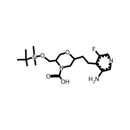 CC(C)(C)[Si](C)(C)OCC1COC(CCc2c(N)cncc2F)CN1C(=O)O